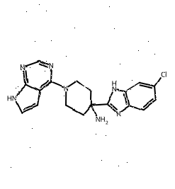 NC1(c2nc3ccc(Cl)cc3[nH]2)CCN(c2ncnc3[nH]ccc23)CC1